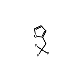 FC(F)(F)Cc1ccco1